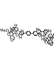 COC(=O)N[C@H](C(=O)N1[C@@H]2C[C@@H]2C[C@H]1c1nc(-c2ccc(-c3ccc4nc(-c5c[nH]c([C@@H]6C[C@H]7C[C@H]7N6[C@@](C=O)(NC(=O)O)C6CCOCC6)n5)cnc4c3)cc2)c[nH]1)C1CCOCC1